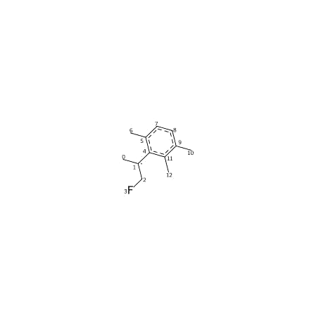 C[C](CF)c1c(C)ccc(C)c1C